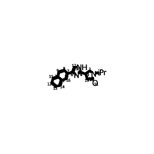 CC(C)N1CC(c2nc(-c3ccc4ccccc4c3)c[nH]2)CC1=O